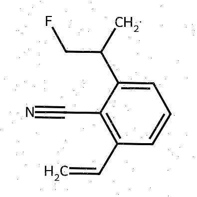 [CH2]C(CF)c1cccc(C=C)c1C#N